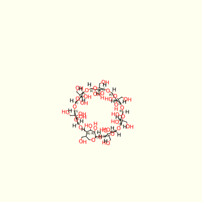 OCC1CO[C@@H]2O[C@@H]3C(CO)O[C@H](O[C@@H]4C(CO)O[C@H](O[C@@H]5C(CO)O[C@H](O[C@@H]6C(CO)O[C@H](O[C@@H]7C(CO)O[C@H](O[C@@H]8C(CO)O[C@H](O[C@H]1C(O)[C@H]2O)[C@H](O)C8O)C(O)[C@H]7O)C(O)[C@H]6O)C(O)[C@H]5O)C(O)[C@H]4O)[C@H](O)C3O